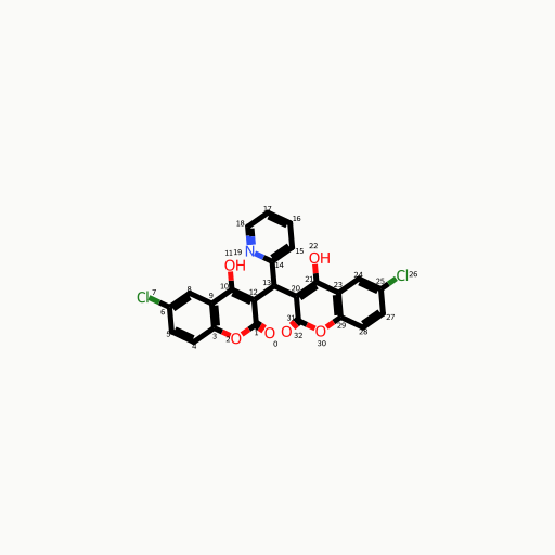 O=c1oc2ccc(Cl)cc2c(O)c1C(c1ccccn1)c1c(O)c2cc(Cl)ccc2oc1=O